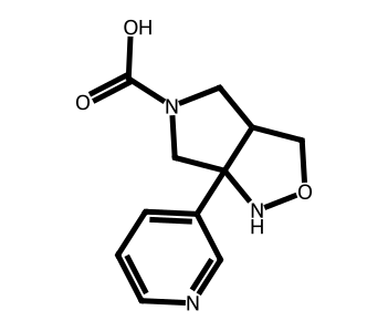 O=C(O)N1CC2CONC2(c2cccnc2)C1